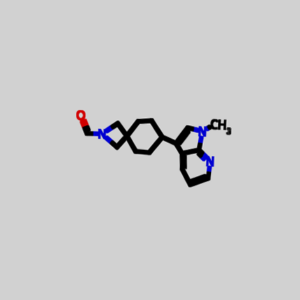 Cn1cc(C2CCC3(CC2)CN(C=O)C3)c2cccnc21